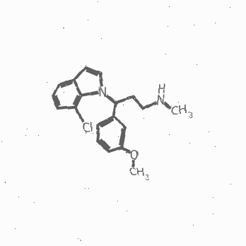 CNCCC(c1cccc(OC)c1)n1ccc2cccc(Cl)c21